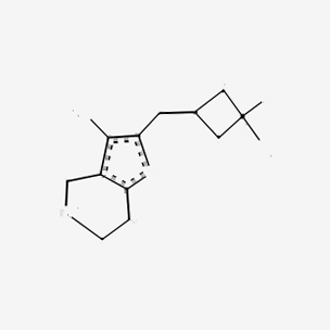 N#Cc1c(CC2CC(F)(F)C2)sc2c1CNCC2